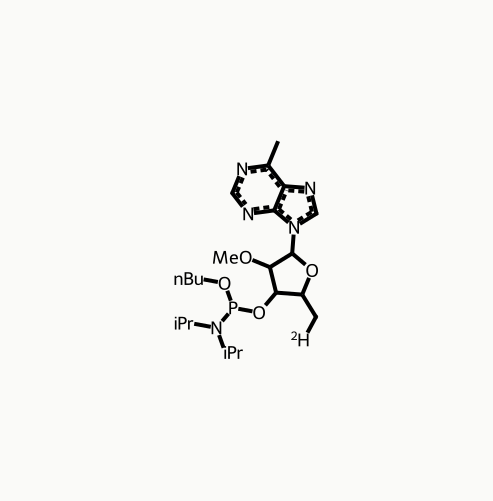 [2H]CC1OC(n2cnc3c(C)ncnc32)C(OC)C1OP(OCCCC)N(C(C)C)C(C)C